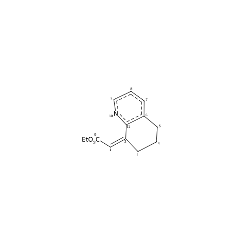 CCOC(=O)/C=C1/CCCc2cccnc21